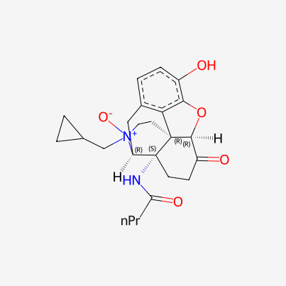 CCCC(=O)N[C@@]12CCC(=O)[C@@H]3Oc4c(O)ccc5c4[C@@]31CC[N+]([O-])(CC1CC1)[C@@H]2C5